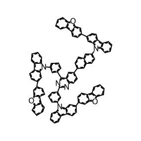 c1cc(-c2nc(-c3cccc(-n4c5ccccc5c5ccc(-c6ccc7c(c6)oc6ccccc67)cc54)c3)c3cc(-c4ccc5cc(-n6c7ccccc7c7ccc(-c8ccc9c(c8)oc8ccccc89)cc76)ccc5c4)ccc3n2)cc(-n2c3ccccc3c3ccc(-c4ccc5c(c4)oc4ccccc45)cc32)c1